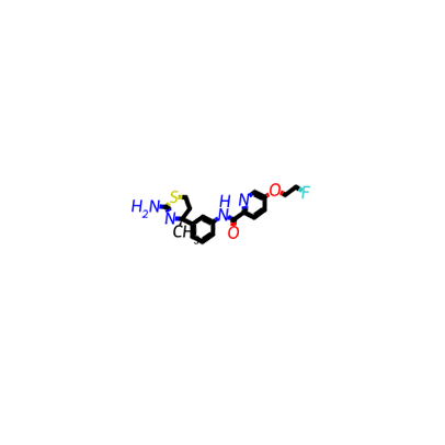 C[C@@]1(c2cccc(NC(=O)c3ccc(OCCF)cn3)c2)CCSC(N)=N1